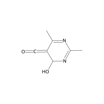 CC1=NC(O)C(=C=O)C(C)=N1